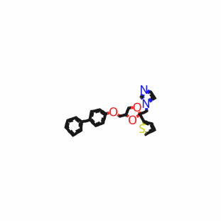 c1ccc(-c2ccc(OCC3COC(Cn4ccnc4)(c4cccs4)O3)cc2)cc1